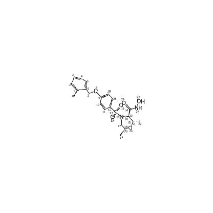 Cc1ccccc1COc1ccc(S(=O)(=O)N2C[C@H](C)O[C@@H](C)[C@@H]2C(=O)NO)cc1